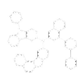 c1ccc(-c2cccc(-c3cc(N(c4ccc5sc6ccc7ccccc7c6c5c4)c4ccc5c(c4)c4ccccc4n5-c4ccccc4)cc4ccccc34)c2)cc1